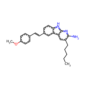 CCCCCc1cc2c(nc1N)[nH]c1ccc(C=Cc3ccc(OC)cc3)cc12